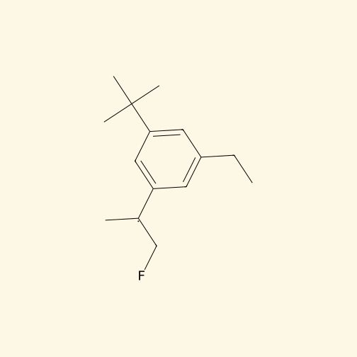 CCc1cc([C](C)CF)cc(C(C)(C)C)c1